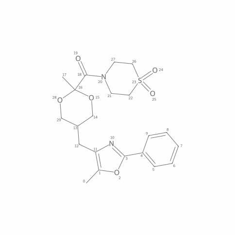 Cc1oc(-c2ccccc2)nc1CC1COC(C)(C(=O)N2CCS(=O)(=O)CC2)OC1